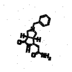 NC(=O)C[C@H]1NC(=O)[C@@H]2CN(Cc3ccccc3)C[C@H]12